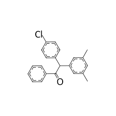 Cc1cc(C)cc(C(C(=O)c2ccccc2)c2ccc(Cl)cc2)c1